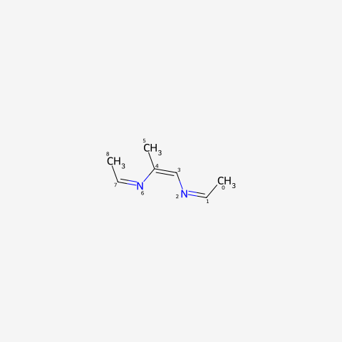 C\C=N/C=C(C)\N=C/C